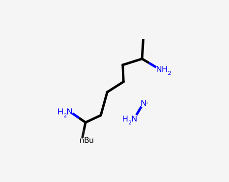 CCCCC(N)CCCCC(C)N.[N]N